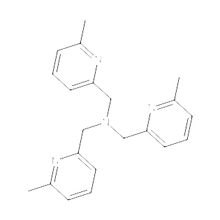 Cc1cccc(CN(Cc2cccc(C)n2)Cc2cccc(C)n2)n1